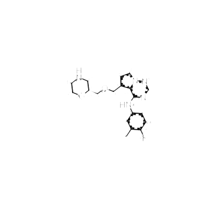 Cc1cc(Nc2ncnn3ccc(COC[C@@H]4CNCCO4)c23)ccc1F